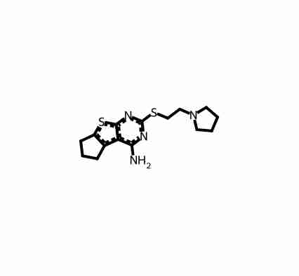 Nc1nc(SCCN2CCCC2)nc2sc3c(c12)CCC3